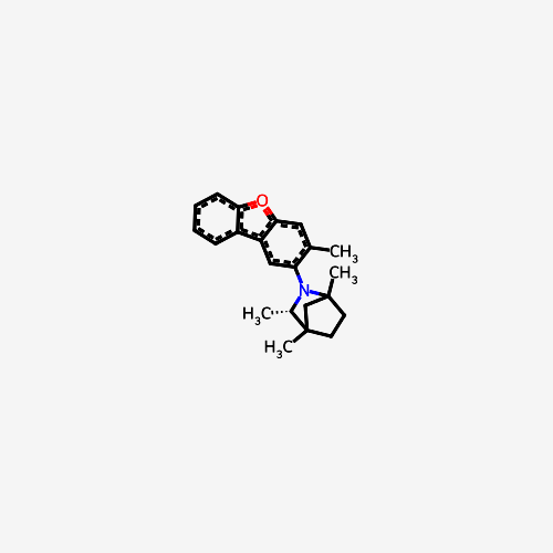 Cc1cc2oc3ccccc3c2cc1N1[C@@H](C)C2(C)CCC1(C)C2